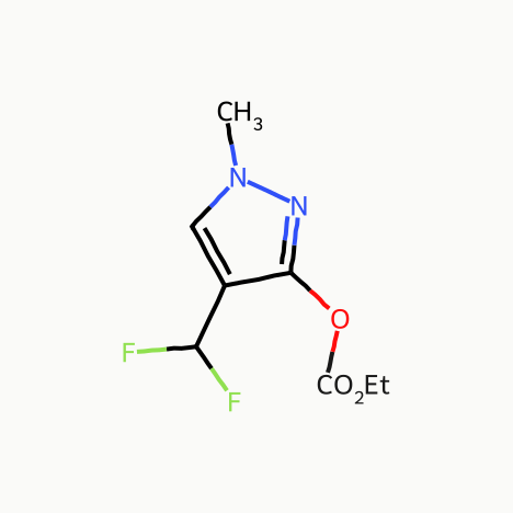 CCOC(=O)Oc1nn(C)cc1C(F)F